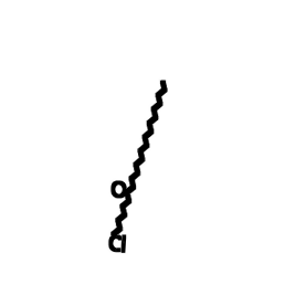 CCCCCCCCCCCCCCCCC(=O)CCCCCCCl